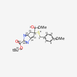 COC(=O)C1(SCc2ccc(OC)cc2)C=C2N=C(C(=O)OC(C)(C)C)N=C2C1